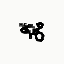 CC1(C)C2CCC3(C2)C1N3C(=O)c1nn(C2CCCC2)c2c1CCCCCC2